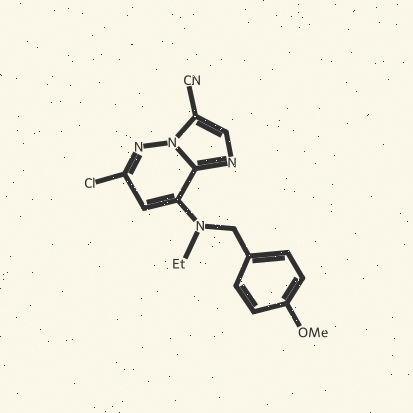 CCN(Cc1ccc(OC)cc1)c1cc(Cl)nn2c(C#N)cnc12